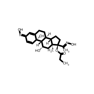 CCC(=O)O[C@]1(/C(C)=N/O)CC[C@H]2[C@@H]3CCC4=CC(=NO)C=C[C@]4(C)[C@H]3[C@@H](O)C[C@@]21C